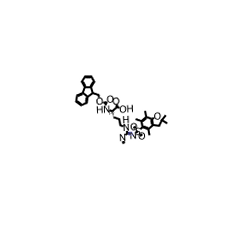 C=N/C(=N/S(=O)(=O)c1c(C)c(C)c2c(c1C)CC(C)(C)O2)NCCC[C@H](NC(=O)OCC1c2ccccc2-c2ccccc21)C(=O)O